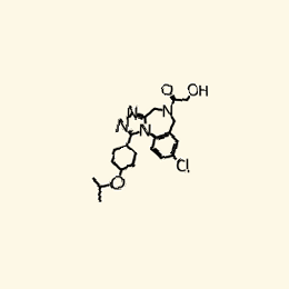 CC(C)OC1CCC(c2nnc3n2-c2ccc(Cl)cc2CN(C(=O)CO)C3)CC1